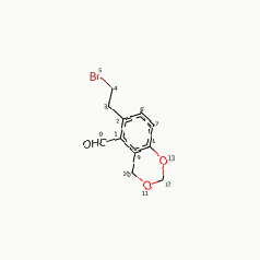 O=Cc1c(CCBr)ccc2c1COCO2